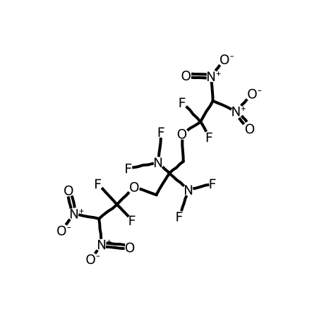 O=[N+]([O-])C([N+](=O)[O-])C(F)(F)OCC(COC(F)(F)C([N+](=O)[O-])[N+](=O)[O-])(N(F)F)N(F)F